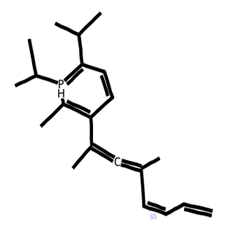 C=C/C=C\C(C)=C=C(C)C1=C(C)[PH](C(C)C)=C(C(C)C)C=C1